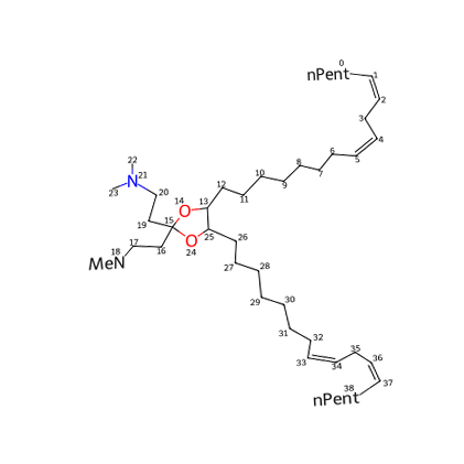 CCCCC/C=C\C/C=C\CCCCCCCC1OC(CCNC)(CCN(C)C)OC1CCCCCCC/C=C\C/C=C\CCCCC